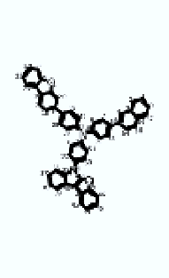 c1ccc2cc(-c3ccc(N(c4ccc(-c5ccc6c(c5)oc5ccccc56)cc4)c4ccc(-n5c6ccccc6c6c7ccccc7oc65)cc4)cc3)ccc2c1